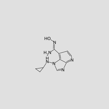 N/C(=N\O)c1ccnc2ncn(NC3CC3)c12